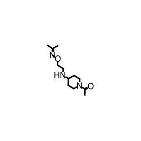 CC(=O)N1CCC(NCCON=C(C)C)CC1